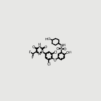 O=c1[nH]c(=O)n(-c2cc(Cl)c(Oc3ccc(O)c(S(=O)(=O)NC4CCC(O)CC4)c3)c(Cl)c2)nc1C(F)F